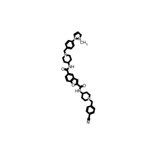 CN1CC=CN1c1ccc(CN2CCC(NC(=O)c3ccc4oc(C(=O)NC5CCN(Cc6ccc(C#N)cc6)CC5)cc4c3)CC2)cc1